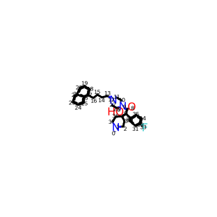 CN1CCC(O)(C(C(=O)N2CCN(CCCCc3cccc4ccccc34)CC2)c2ccc(F)cc2)CC1